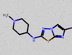 CN1CCC(Nc2nn3cc(I)nc3s2)CC1